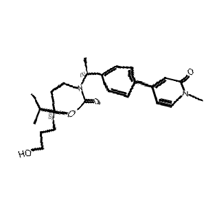 CC(C)[C@]1(CCCO)CCN([C@@H](C)c2ccc(-c3ccn(C)c(=O)c3)cc2)C(=O)O1